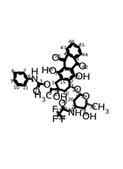 CC(OC(=O)Nc1ccccc1)[C@]1(O)Cc2c(O)c3c(c(O)c2[C@@H](O[C@H]2C[C@H](NC(=O)C(F)(F)F)[C@@H](O)[C@H](C)O2)C1)C(=O)c1ccccc1C3=O